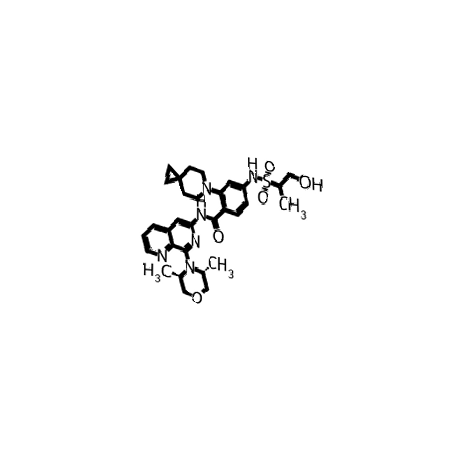 CC(CO)S(=O)(=O)Nc1ccc(C(=O)Nc2cc3cccnc3c(N3[C@H](C)COC[C@H]3C)n2)c(N2CCC3(CC2)CC3)c1